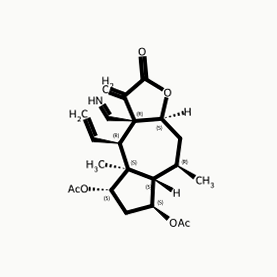 C=C[C@H]1[C@]2(C=N)C(=C)C(=O)O[C@H]2C[C@@H](C)[C@@H]2[C@@H](OC(C)=O)C[C@H](OC(C)=O)[C@]21C